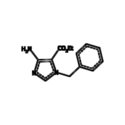 CCOC(=O)c1c(N)ncn1Cc1ccccc1